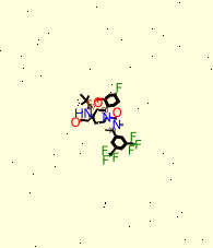 Cc1cc(F)ccc1[C@H]1C[C@@](CC=O)(N[S@+]([O-])C(C)(C)C)CCN1C(=O)N(C)[C@H](C)c1cc(C(F)(F)F)cc(C(F)(F)F)c1